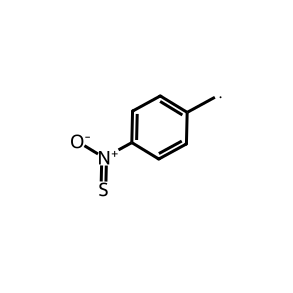 [CH2]c1ccc([N+]([O-])=S)cc1